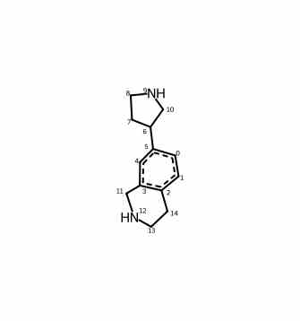 c1cc2c(cc1C1CCNC1)CNCC2